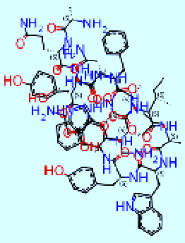 CC[C@H](C)[C@H](NC(=O)[C@H](Cc1c[nH]c2ccccc12)NC(=O)[C@H](Cc1ccccc1)NC(=O)[C@H](Cc1ccc(O)cc1)NC(=O)[C@H](CCC(N)=O)NC(=O)[C@H](C)N)C(=O)N[C@@H](C)C(=O)N[C@@H](Cc1c[nH]c2ccccc12)C(=O)N[C@@H](Cc1ccc(O)cc1)C(=O)N[C@@H](CCCCN)C(=O)N[C@@H](CC(C)C)C(=O)N[C@@H](C)C(=O)N[C@@H](CC(N)=O)C(=O)N[C@@H](CO)C(=O)N[C@@H](CCCCN)C(=O)O